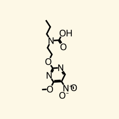 CCCN(CCOc1ncc([N+](=O)[O-])c(OC)n1)C(=O)O